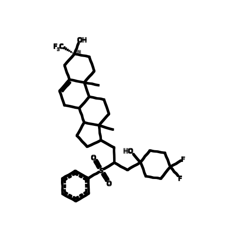 CC12CC[C@@](O)(C(F)(F)F)CC1=CCC1C2CCC2(C)C(CC(CC3(O)CCC(F)(F)CC3)S(=O)(=O)c3ccccc3)CCC12